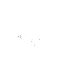 CC(Cn1cnnn1)Oc1cc(-c2ccc3ncc(-c4c[n+]([O-])ccc4C#N)n3n2)ccc1F